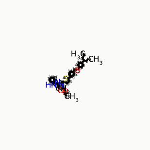 CCCC(CCC)c1ccc(OCc2ccc(-c3ccc(CN(CC(=O)OCC)C(C)c4nc5ccccc5[nH]4)s3)cc2)cc1